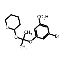 CC(C)(Oc1cc(Br)cc(C(=O)O)c1)OC1CCCCO1